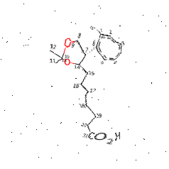 Cc1ccccc1[C@H]1COC(C)(C)O[C@@H]1CCCCCCC(=O)O